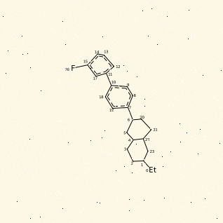 CCC1CCC2CC(c3ccc(-c4cccc(F)c4)cc3)CCC2C1